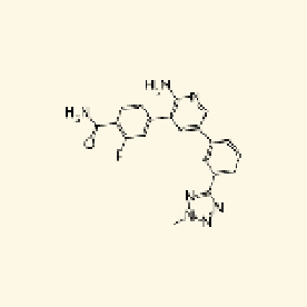 Cn1nnc(-c2cccc(-c3cnc(N)c(-c4ccc(C(N)=O)c(F)c4)c3)c2)n1